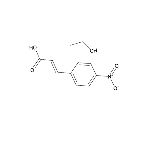 CCO.O=C(O)C=Cc1ccc([N+](=O)[O-])cc1